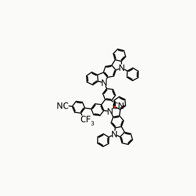 N#Cc1ccc(-c2ccc(-n3c4ccccc4c4cc5c6ccccc6n(-c6ccccc6)c5cc43)c(-c3cc(-n4c5ccccc5c5cc6c7ccccc7n(-c7ccccc7)c6cc54)ccc3C#N)c2)c(C(F)(F)F)c1